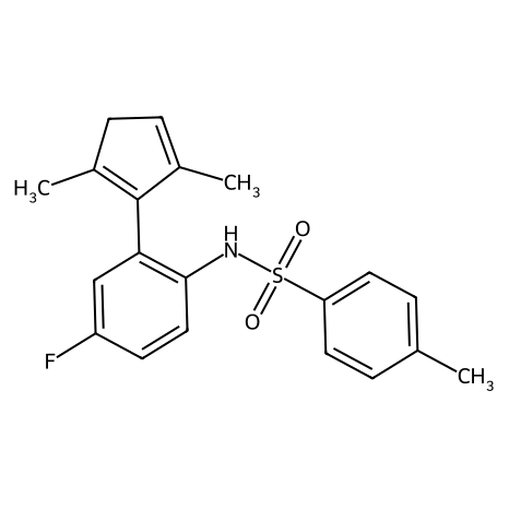 CC1=CCC(C)=C1c1cc(F)ccc1NS(=O)(=O)c1ccc(C)cc1